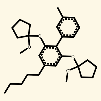 CCCCCc1cc(OC2(OC)CCCC2)c(-c2cccc(C)c2)c(OC2(OC)CCCC2)c1